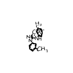 Cc1cccc(N=C(CC(=O)[O-])Nc2cccc(C)c2)c1.[Na+]